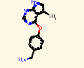 Cc1c[nH]c2ncnc(Oc3ccc(CN)cc3)c12